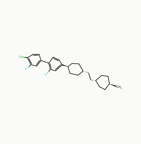 C[C@H]1CC[C@H](CC[C@H]2CC[C@H](c3ccc(-c4ccc(Cl)c(F)c4)c(F)c3)CC2)CC1